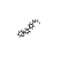 Nc1ccc(-c2ccn(C3CCCCO3)c2)cc1